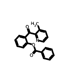 Cc1cccnc1C(=O)c1ccccc1OC(=O)c1ccccc1